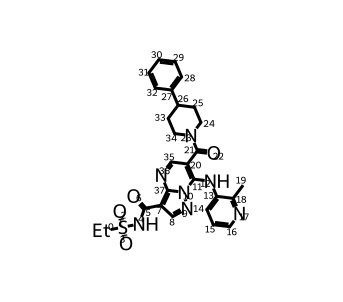 CCS(=O)(=O)NC(=O)c1cnn2c(Nc3cccnc3C)c(C(=O)N3CCC(c4ccccc4)CC3)cnc12